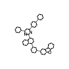 c1ccc(-c2ccc(-c3cc(-c4ccccc4)nc(-c4ccc(-c5cccc(-c6ccc7oc8ccccc8c7c6)c5)c5ccccc45)n3)cc2)cc1